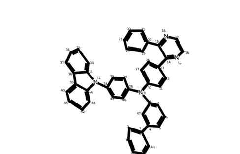 c1ccc(-c2cccc(N(c3ccc(-c4nccnc4-c4ccccc4)cc3)c3ccc(-n4c5ccccc5c5ccccc54)cc3)c2)cc1